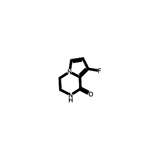 O=C1NCCn2ccc(F)c21